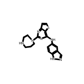 c1cc2nc(N3CCCNCC3)nc(Nc3ccc4[nH]ncc4c3)c2s1